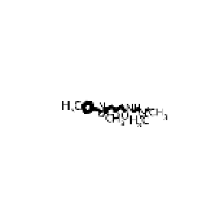 CCN(CC)CCNC(=O)CC(=O)Cc1nc(-c2ccc(C)cc2)oc1C